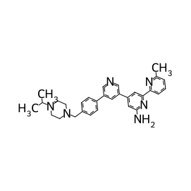 Cc1cccc(-c2cc(-c3cncc(-c4ccc(CN5CCN(C(C)C)CC5)cc4)c3)cc(N)n2)n1